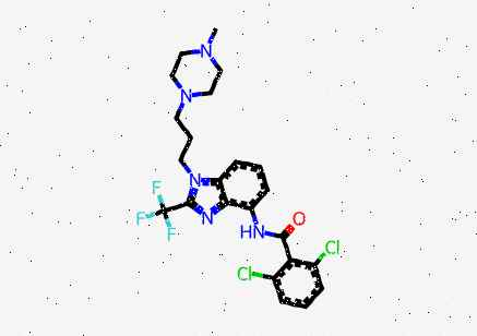 CN1CCN(CCCn2c(C(F)(F)F)nc3c(NC(=O)c4c(Cl)cccc4Cl)cccc32)CC1